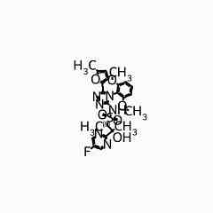 COc1cccc(OC)c1-n1c(NS(=O)(=O)[C@@H](C)C(C)(O)c2ncc(F)cn2)nnc1-c1ccc(C)o1